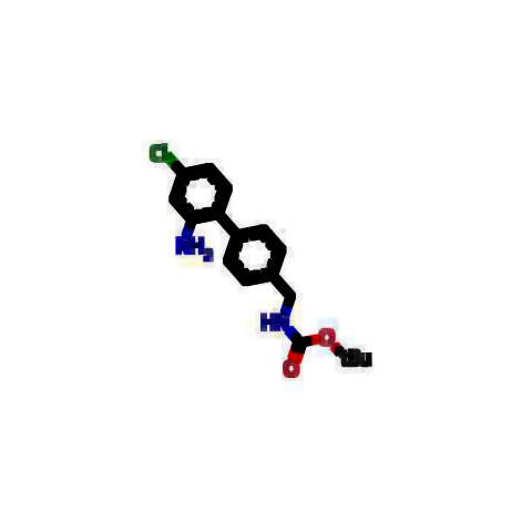 CC(C)(C)OC(=O)NCc1ccc(-c2ccc(Cl)cc2N)cc1